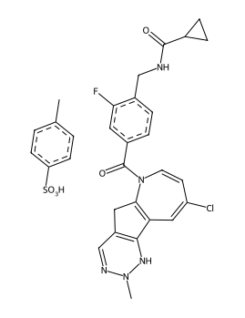 CN1N=CC2=C(N1)C1=C(C2)N(C(=O)c2ccc(CNC(=O)C3CC3)c(F)c2)C=CC(Cl)=C1.Cc1ccc(S(=O)(=O)O)cc1